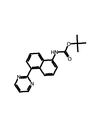 CC(C)(C)OC(=O)Nc1cccc2c(-c3ncccn3)cccc12